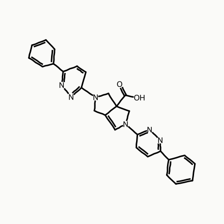 O=C(O)C12CN(c3ccc(-c4ccccc4)nn3)C=C1CN(c1ccc(-c3ccccc3)nn1)C2